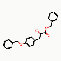 O=C(OCc1ccccc1)C(O)Cc1ccc(OCc2ccccc2)cc1